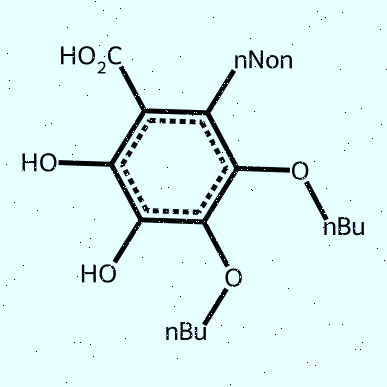 CCCCCCCCCc1c(OCCCC)c(OCCCC)c(O)c(O)c1C(=O)O